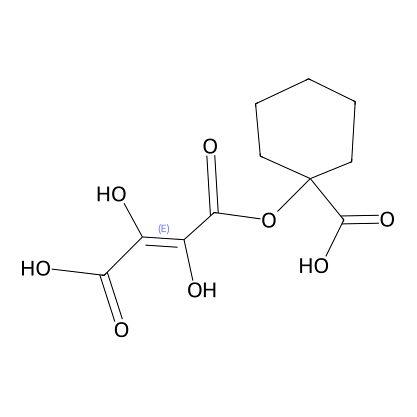 O=C(O)/C(O)=C(\O)C(=O)OC1(C(=O)O)CCCCC1